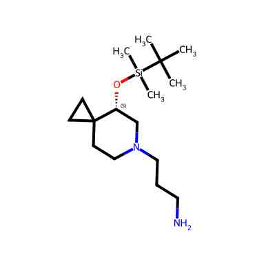 CC(C)(C)[Si](C)(C)O[C@@H]1CN(CCCN)CCC12CC2